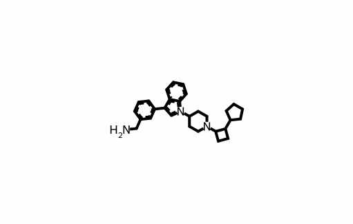 NCc1cccc(-c2cn(C3CCN(C4CCC4C4CCCC4)CC3)c3ccccc23)c1